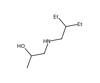 CCC(CC)CNCC(C)O